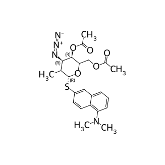 CC(=O)OCC1O[C@H](Sc2ccc3c(N(C)C)cccc3c2)C(C)[C@@H](N=[N+]=[N-])[C@H]1OC(C)=O